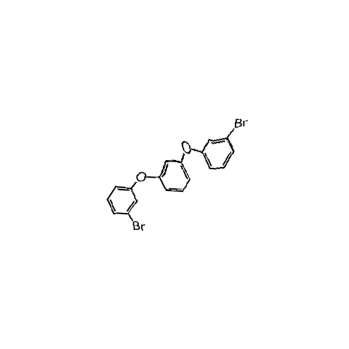 Brc1cccc(Oc2cccc(Oc3cccc(Br)c3)c2)c1